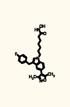 Cc1noc(C)c1-c1ccc2c(c1)c(Cc1ccc(F)cc1)cn2CCCCCCC(=O)NO